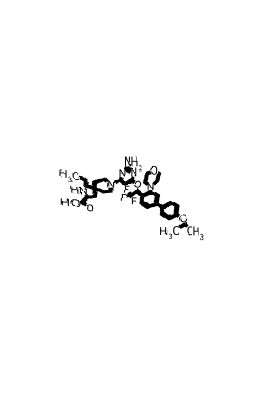 CCC1NC(C(=O)O)CC12CCN(c1cc(O[C@H](c3ccc(-c4ccc(OC(C)C)cc4)cc3N3CCOCC3)C(F)(F)F)nc(N)n1)CC2